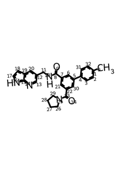 Cc1ccc(-c2cc(C(=O)NCc3cnc4[nH]ccc4c3)cc(C(=O)N3CCCC3)c2)cc1